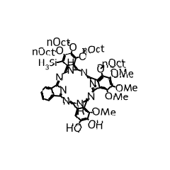 CCCCCCCCOc1c(OC)c(OC)c(OC)c2c1-c1nc-2nc2[nH]c(nc3nc(nc4[nH]c(n1)c1c(OCCCCCCCC)c(OCCCCCCCC)c(OCCCCCCCC)c([SiH3])c41)-c1ccccc1-3)c1cc(O)c(O)c(OC)c21